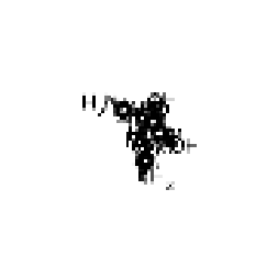 Cc1ccc(S(=O)(=O)Nc2cc(S(=O)(=O)O)cc3c2C(=O)/C(=N\Nc2ccc(N)cc2)C(S(=O)(=O)O)=C3)cc1